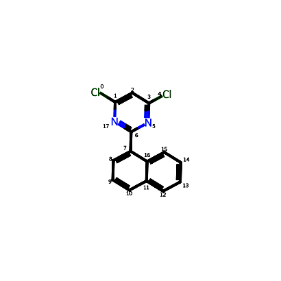 Clc1cc(Cl)nc(-c2cccc3ccccc23)n1